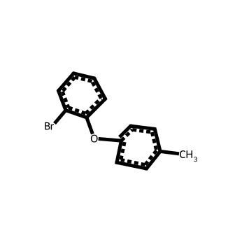 Cc1ccc(Oc2ccccc2Br)cc1